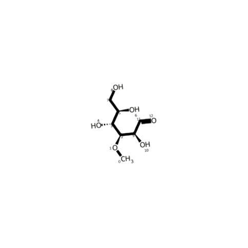 CO[C@@H]([C@H](O)[C@H](O)CO)[C@H](O)C=O